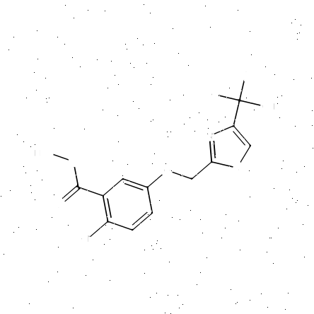 COC(=O)c1cc(OCc2nc(C(C)(C)C)cs2)ccc1Cl